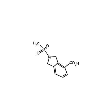 CS(=O)(=O)N1Cc2cccc(C(=O)O)c2C1